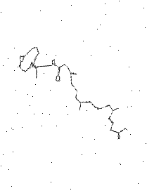 CC(C)CCCC(C)CCCC(C)CCCC(C)CC(=O)NC(C)N1CCOCC1